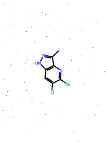 Clc1cc2[nH]nc(I)c2nc1Br